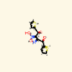 O=C(c1cccs1)c1no[n+](O)c1C(=O)c1cccs1